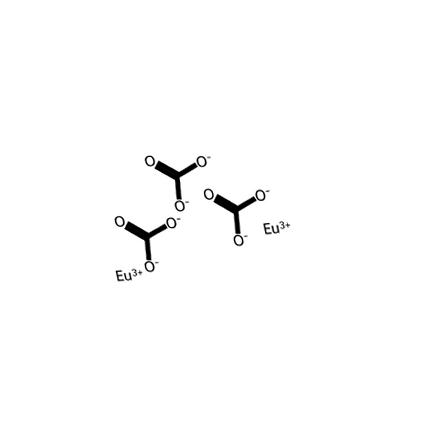 O=C([O-])[O-].O=C([O-])[O-].O=C([O-])[O-].[Eu+3].[Eu+3]